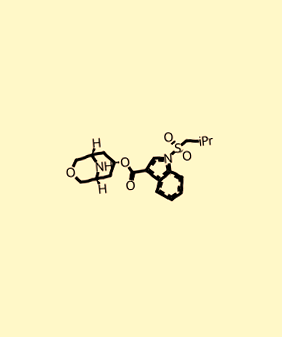 CC(C)CS(=O)(=O)n1cc(C(=O)O[C@H]2C[C@H]3COC[C@@H](C2)N3)c2ccccc21